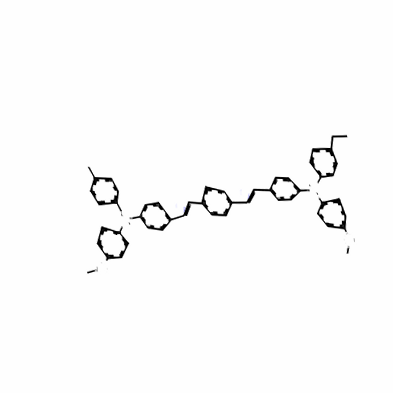 CCc1ccc(N(c2ccc(/C=C/c3ccc(/C=C/c4ccc(N(c5ccc(C)cc5)c5ccc(OC)cc5)cc4)cc3)cc2)c2ccc(OC)cc2)cc1